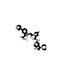 NC(=O)c1nn(CC(=O)N2CC(F)CC2C(=O)Nc2cc3c(N4CCOCC4)c[nH]c3cn2)c2ccc(-c3ccnnc3)cc12